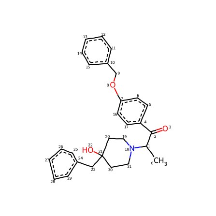 CC(C(=O)c1ccc(OCc2ccccc2)cc1)N1CCC(O)(Cc2ccccc2)CC1